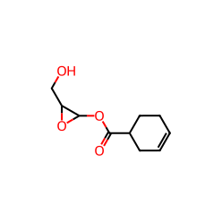 O=C(OC1OC1CO)C1CC=CCC1